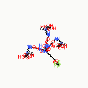 CC(=O)N(CCCc1cn(CCOCCOCCNC(=O)CCC(CCC(=O)NCCOCCOCCn2cc(CCCN(C(C)=O)[C@H]3CO[C@H](CO)[C@H](O)[C@@H]3O)nn2)(CCC(=O)NCCOCCOCCn2cc(CCCN(C(C)=O)[C@H]3CO[C@H](CO)[C@H](O)[C@@H]3O)nn2)NC(=O)CCCCCCCCCCC(=O)Oc2c(F)c(F)c(F)c(F)c2F)nn1)[C@H]1CO[C@H](CO)[C@H](O)[C@@H]1O